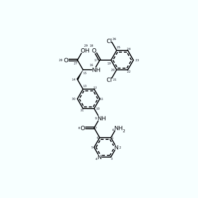 Nc1ncncc1C(=O)Nc1ccc(C[C@H](NC(=O)c2c(Cl)cccc2Cl)C(=O)O)cc1